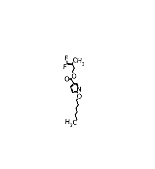 CCCCCCCOc1ccc(C(=O)OCCC(C)=C(F)F)cn1